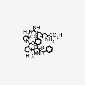 C[C@H](NP(=O)(Cc1ccccc1)Cc1ccccc1)C(=O)N1CCC[C@H]1C(=O)N1CCC[C@H]1C(=O)O.N=C(N)NCCC[C@H](N)C(=O)O